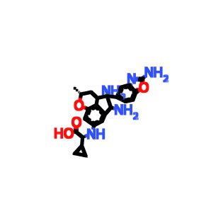 C[C@@H]1CC2c3c(cc(N[C@H](C(=O)O)C4CC4)cc3C(N)[C@]2(N)c2ccc3oc(N)nc3c2)O1